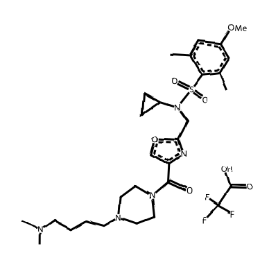 COc1cc(C)c(S(=O)(=O)N(Cc2nc(C(=O)N3CCN(CCCCN(C)C)CC3)co2)C2CC2)c(C)c1.O=C(O)C(F)(F)F